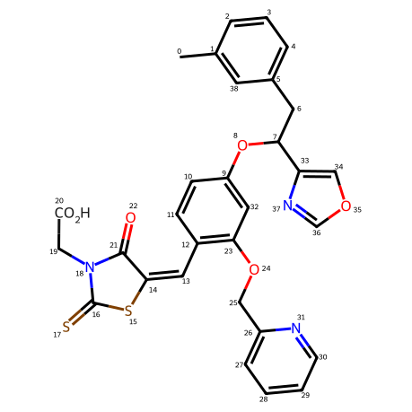 Cc1cccc(CC(Oc2ccc(C=C3SC(=S)N(CC(=O)O)C3=O)c(OCc3ccccn3)c2)c2cocn2)c1